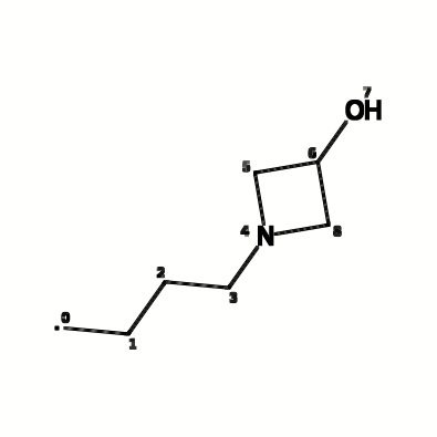 [CH2]CCCN1CC(O)C1